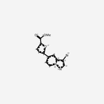 COC(=O)c1ccc(-c2ccn3ncc(Br)c3c2)o1